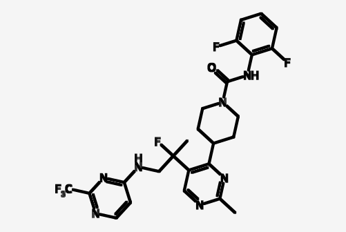 Cc1ncc(C(C)(F)CNc2ccnc(C(F)(F)F)n2)c(C2CCN(C(=O)Nc3c(F)cccc3F)CC2)n1